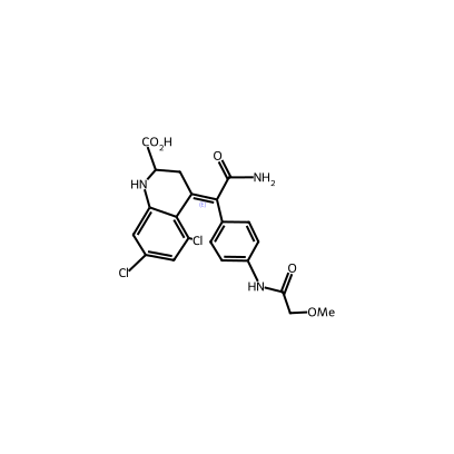 COCC(=O)Nc1ccc(/C(C(N)=O)=C2/CC(C(=O)O)Nc3cc(Cl)cc(Cl)c32)cc1